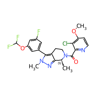 COc1ccnc(C(=O)N2CCc3c(nn(C)c3-c3cc(F)cc(OC(F)F)c3)[C@@H]2C)c1Cl